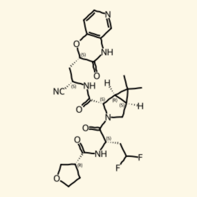 CC1(C)[C@@H]2[C@@H](C(=O)N[C@H](C#N)C[C@@H]3Oc4ccncc4NC3=O)N(C(=O)[C@H](CC(F)F)NC(=O)[C@@H]3CCOC3)C[C@@H]21